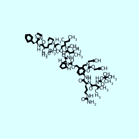 C#CCOC(=O)N(CC#C)Cc1cc(NC(=O)[C@H](CCCNC(N)=O)NC(=O)[C@@H](NC(=O)OC(C)(C)C)C(C)C)ccc1COC(=O)N1[C@@H]2CC[C@@H](C2)[C@H]1C(=O)N[C@H](C(=O)N(C)[C@@H]([C@@H](C)CC)[C@@H](CC(=O)N1CCC[C@H]1[C@H](OC)[C@@H](C)C(=O)N[C@@H](Cc1ccccc1)c1nccs1)OC)C(C)C